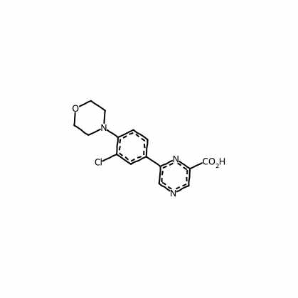 O=C(O)c1cncc(-c2ccc(N3CCOCC3)c(Cl)c2)n1